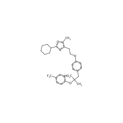 Cc1oc(C2CCCCC2)nc1CCOc1ccc(CC(C)(Oc2ccc(C(F)(F)F)cc2)C(=O)O)cc1